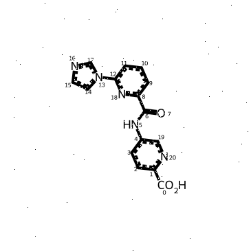 O=C(O)c1ccc(NC(=O)c2cccc(-n3ccnc3)n2)cn1